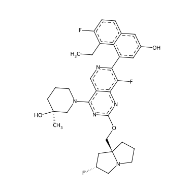 CCc1c(F)ccc2cc(O)cc(-c3ncc4c(N5CCC[C@](C)(O)C5)nc(OC[C@@]56CCCN5C[C@H](F)C6)nc4c3F)c12